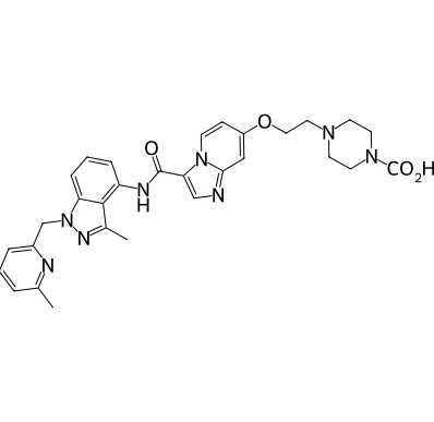 Cc1cccc(Cn2nc(C)c3c(NC(=O)c4cnc5cc(OCCN6CCN(C(=O)O)CC6)ccn45)cccc32)n1